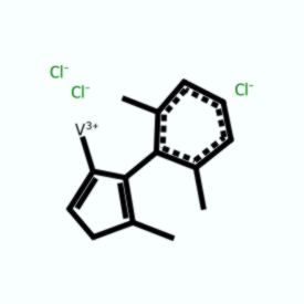 CC1=C(c2c(C)cccc2C)[C]([V+3])=CC1.[Cl-].[Cl-].[Cl-]